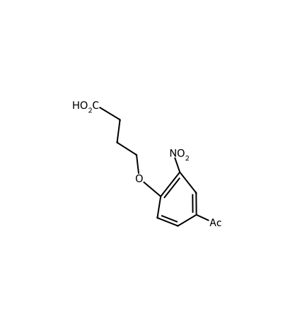 CC(=O)c1ccc(OCCCC(=O)O)c([N+](=O)[O-])c1